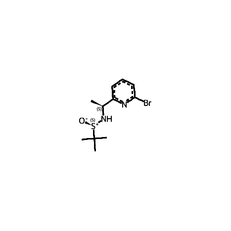 C[C@H](N[S@+]([O-])C(C)(C)C)c1cccc(Br)n1